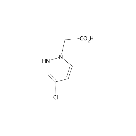 O=C(O)CN1C=CC(Cl)=CN1